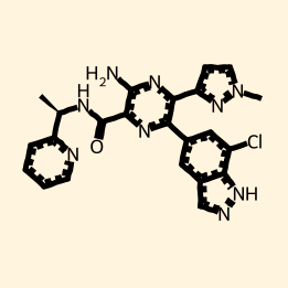 C[C@@H](NC(=O)c1nc(-c2cc(Cl)c3[nH]ncc3c2)c(-c2ccn(C)n2)nc1N)c1ccccn1